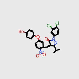 CC(C)C1=NN(c2ccc(Cl)c(Cl)c2)C(=O)C1=Cc1cc(Oc2ccc(Br)cc2)ccc1[N+](=O)[O-]